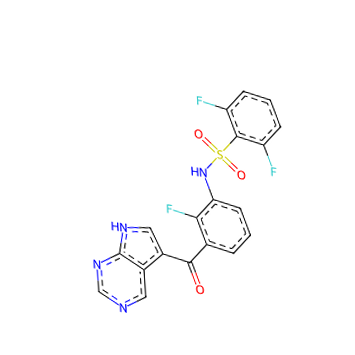 O=C(c1cccc(NS(=O)(=O)c2c(F)cccc2F)c1F)c1c[nH]c2ncncc12